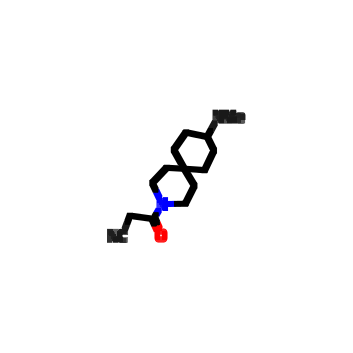 CNC1CCC2(CC1)CCN(C(=O)CC#N)CC2